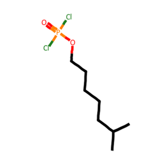 CC(C)CCCCCOP(=O)(Cl)Cl